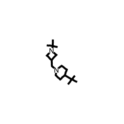 CC(C)(C)C1CCN(CC2CN(C(C)(C)C)C2)CC1